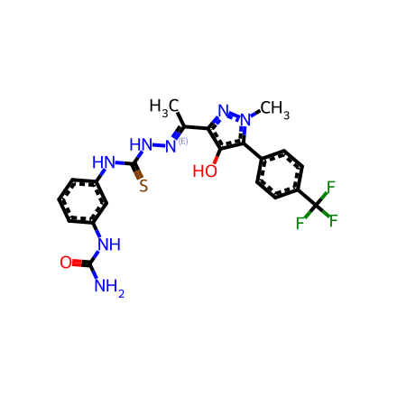 C/C(=N\NC(=S)Nc1cccc(NC(N)=O)c1)c1nn(C)c(-c2ccc(C(F)(F)F)cc2)c1O